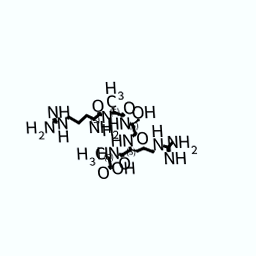 C[C@H](NC(=O)[C@H](CCCNC(=N)N)NC(=O)[C@H](CO)NC(=O)[C@H](C)NC(=O)[C@@H](N)CCCNC(=N)N)C(=O)O